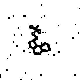 CS(=O)(=O)O/N=C1\CCc2ccc3ccccc3c21